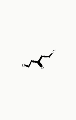 O=C(CCCl)CCCl